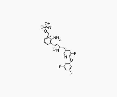 Nc1c(-c2cc(Cc3cnc(Oc4cc(F)cc(F)c4)c(F)c3)no2)ccc[n+]1COP(=O)([O-])O